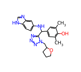 Cc1cc(C(Nc2ccc3[nH]cnc3c2)c2nnnn2CC2CCCO2)cc(C)c1O